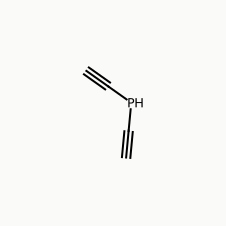 C#CPC#C